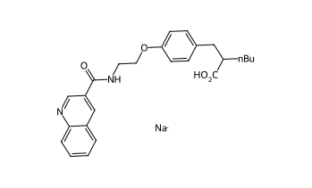 CCCCC(Cc1ccc(OCCNC(=O)c2cnc3ccccc3c2)cc1)C(=O)O.[Na]